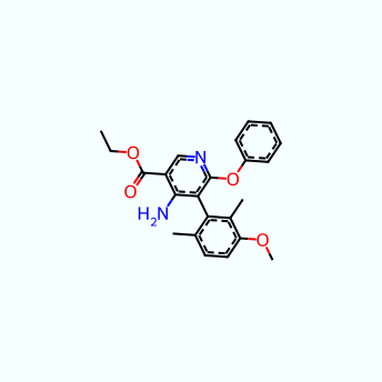 CCOC(=O)c1cnc(Oc2ccccc2)c(-c2c(C)ccc(OC)c2C)c1N